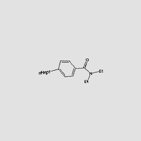 CCCCCCCc1ccc(C(=O)N(CC)CC)cc1